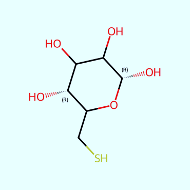 OC1C(O)[C@H](O)OC(CS)[C@@H]1O